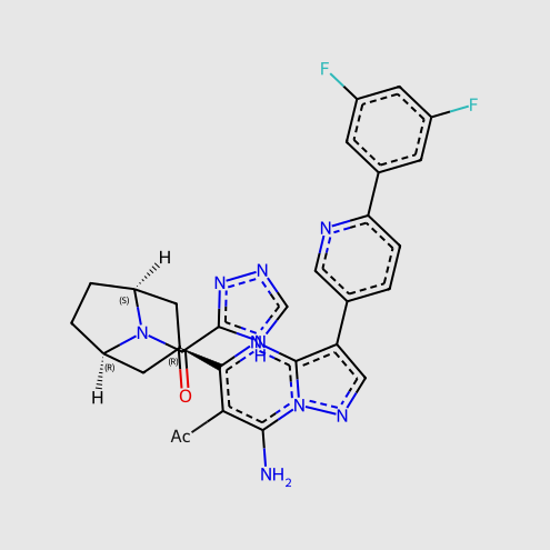 CC(=O)c1c([C@H]2C[C@H]3CC[C@@H](C2)N3C(=O)c2nnc[nH]2)nc2c(-c3ccc(-c4cc(F)cc(F)c4)nc3)cnn2c1N